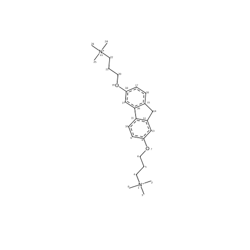 C[N+](C)(C)CCCOc1ccc2c(c1)Cc1ccc(OCCC[N+](C)(C)C)cc1-2